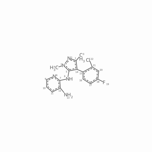 Cc1nn(C)c(Nc2ncccc2N)c1-c1ccc(F)cc1Cl